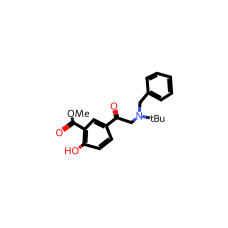 COC(=O)c1cc(C(=O)CN(Cc2ccccc2)C(C)(C)C)ccc1O